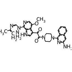 C=C(C)/N=C\N(N)c1ncc(OC)c2c(C(=O)C(=O)N3CCN(c4nc(N)cc5ccccc45)CC3)c[nH]c12